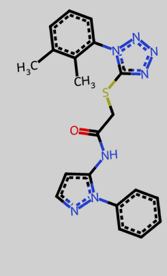 Cc1cccc(-n2nnnc2SCC(=O)Nc2ccnn2-c2ccccc2)c1C